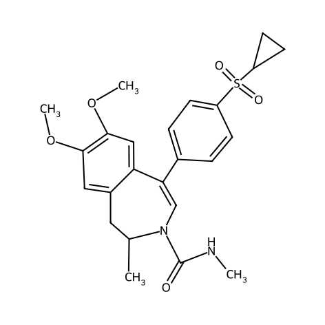 CNC(=O)N1C=C(c2ccc(S(=O)(=O)C3CC3)cc2)c2cc(OC)c(OC)cc2CC1C